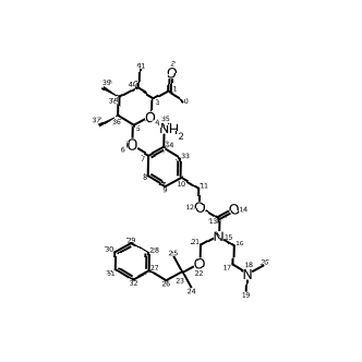 CC(=O)C1OC(Oc2ccc(COC(=O)N(CCN(C)C)COC(C)(C)Cc3ccccc3)cc2N)[C@@H](C)[C@@H](C)C1C